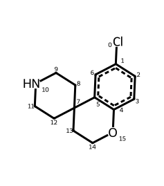 Clc1ccc2c(c1)C1(CCNCC1)CCO2